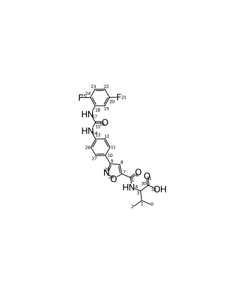 CC(C)C(NC(=O)c1cc(-c2ccc(NC(=O)Nc3cc(F)ccc3F)cc2)no1)C(=O)O